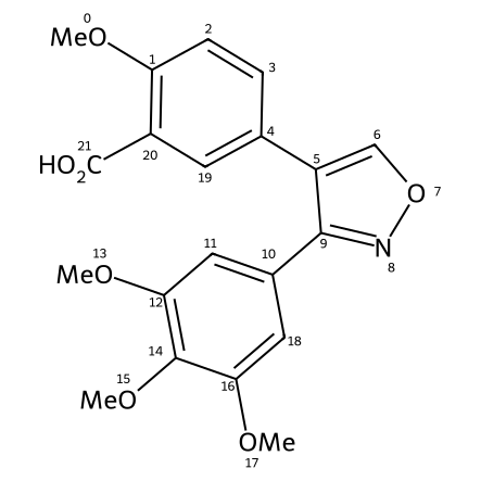 COc1ccc(-c2conc2-c2cc(OC)c(OC)c(OC)c2)cc1C(=O)O